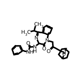 CC(C)C1=NC(NC(=O)Nc2ccccc2)C(=O)N(CC(=O)N2CC3CCC(CC3)C2)c2ccccc21